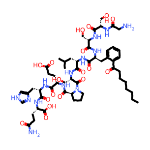 CCCCCCCC(=O)c1ccccc1C[C@H](NC(=O)[C@H](CO)NC(=O)[C@H](CO)NC(=O)CN)C(=O)N[C@@H](CC(C)C)C(=O)N[C@@H](CO)C(=O)N1CCC[C@H]1C(=O)N[C@@H](CCC(=O)O)C(=O)N[C@@H](Cc1c[nH]cn1)C(=O)N[C@@H](CCC(N)=O)C(=O)O